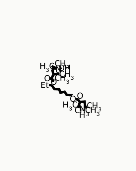 CCC(CCCCCCOC(=O)C1CC(C)(C)NC1(C)C)OC(=O)C1CC(C)(C)N(O)C1(C)C